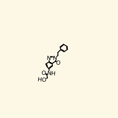 O=C(CO)Nc1ccc2ncn(CCc3ccccc3)c(=O)c2c1